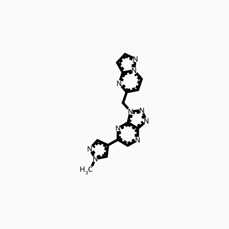 Cn1cc(-c2cnc3nnn(Cc4ccn5nccc5n4)c3n2)cn1